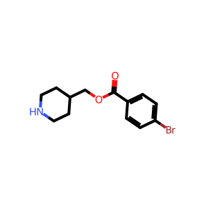 O=C(OCC1CCNCC1)c1ccc(Br)cc1